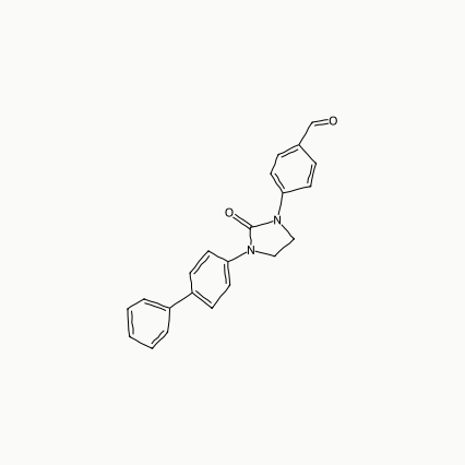 O=Cc1ccc(N2CCN(c3ccc(-c4ccccc4)cc3)C2=O)cc1